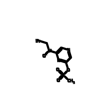 CC(C)C[S+]([O-])c1cncc(OS(C)(=O)=O)n1